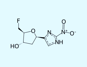 O=[N+]([O-])c1nc([C@H]2C[C@H](O)[C@@H](CF)O2)c[nH]1